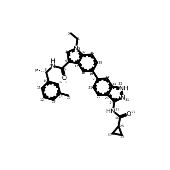 CCn1cc(C(=O)N[C@@H](C)c2cccc(C)c2)c2cc(-c3ccc4c(NC(=O)C5CC5)n[nH]c4c3)ccc21